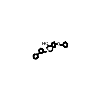 OC1CN(Cc2cccc(-c3ccccc3)c2)CCc2cc(OCc3ccccc3)ccc21